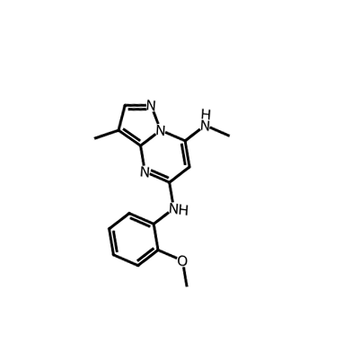 CNc1cc(Nc2ccccc2OC)nc2c(C)cnn12